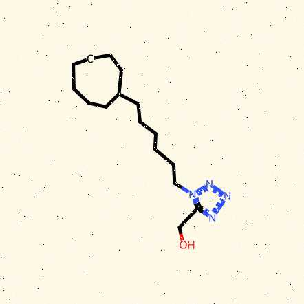 OCc1nnnn1CCCCCCC1CCCCCCC1